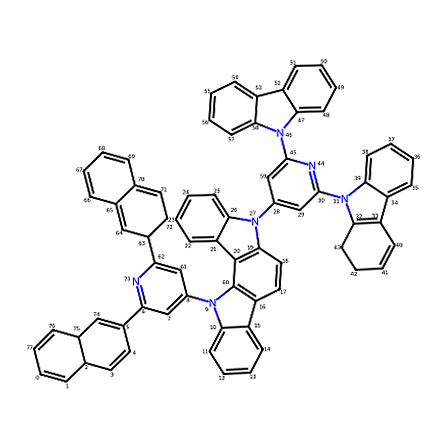 C1=CC2C=CC(c3cc(-n4c5ccccc5c5ccc6c(c7ccccc7n6-c6cc(-n7c8c(c9ccccc97)C=CCC8)nc(-n7c8ccccc8c8ccccc87)c6)c54)cc(C4C=c5ccccc5=CC4)n3)=CC2C=C1